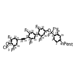 CCCCCc1ccc(C(F)(F)Oc2cc(F)c(-c3cc(F)c(C#Cc4cc(F)c(OC(F)(F)F)c(F)c4)c(F)c3)c(F)c2)c(F)c1